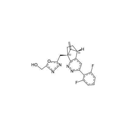 C=C1[C@@H]2CC[C@@]1(Cc1nnc(CO)o1)c1nnc(-c3c(F)cccc3F)cc12